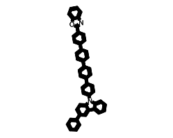 c1ccc(-c2ccc3c(c2)c2ccccc2n3-c2ccc(-c3ccc(-c4ccc(-c5ccc(-c6nc7ccccc7o6)cc5)cc4)cc3)cc2)cc1